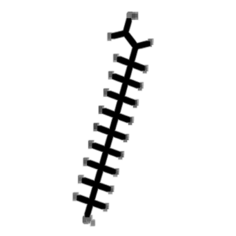 OC(F)C(F)C(F)(F)C(F)(F)C(F)(F)C(F)(F)C(F)(F)C(F)(F)C(F)(F)C(F)(F)C(F)(F)C(F)(F)F